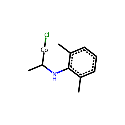 Cc1cccc(C)c1N[CH](C)[Co][Cl]